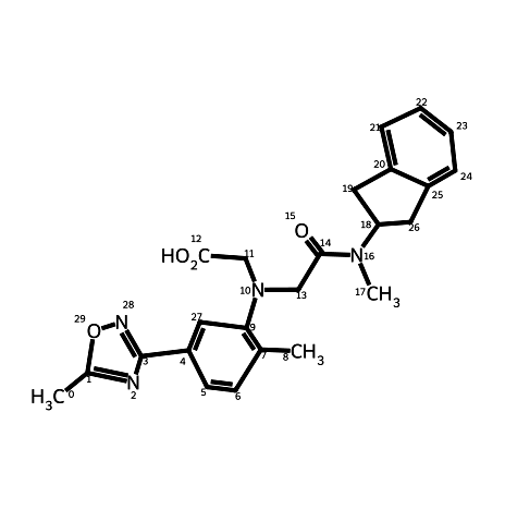 Cc1nc(-c2ccc(C)c(N(CC(=O)O)CC(=O)N(C)C3Cc4ccccc4C3)c2)no1